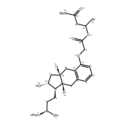 CCCCC[C@H](O)CC[C@@H]1[C@H]2Cc3cccc(OCC(=O)OC(CC(=O)NC)C(C)C)c3C[C@H]2C[C@H]1O